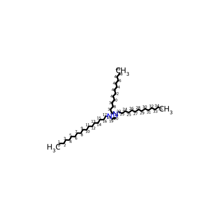 CCCCCCCCCCCCCCCCCCn1cc[n+](CCCCCCCCCCCCCC)c1CCCCCCCCCCCCC